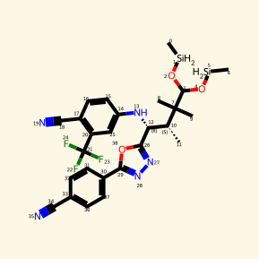 C[SiH2]OC(O[SiH2]C)C(C)(C)[C@H](C)[C@@H](Nc1ccc(C#N)c(C(F)(F)F)c1)c1nnc(-c2ccc(C#N)cc2)o1